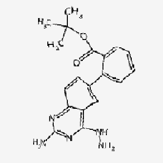 CC(C)(C)OC(=O)c1ccccc1-c1ccc2nc(N)nc(NN)c2c1